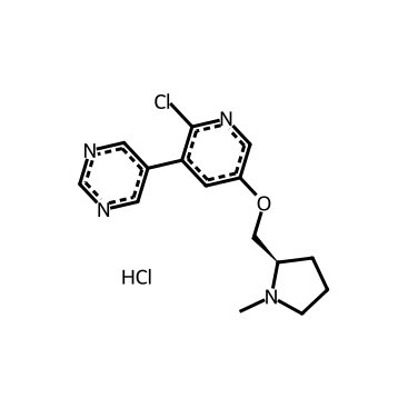 CN1CCC[C@@H]1COc1cnc(Cl)c(-c2cncnc2)c1.Cl